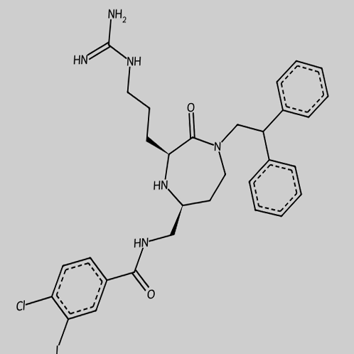 N=C(N)NCCC[C@@H]1N[C@H](CNC(=O)c2ccc(Cl)c(I)c2)CCN(CC(c2ccccc2)c2ccccc2)C1=O